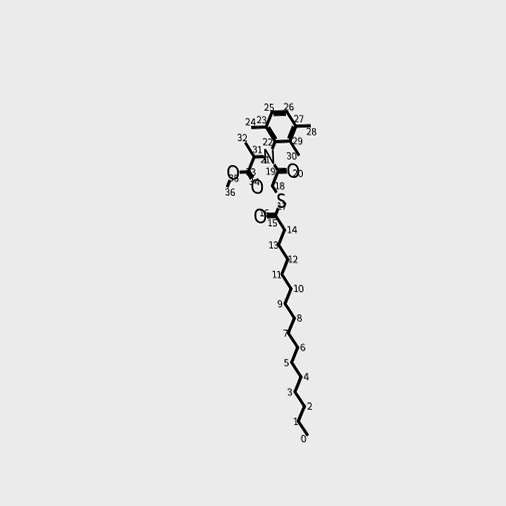 CCCCCCCCCCCCCCCC(=O)SCC(=O)N(c1c(C)ccc(C)c1C)C(C)C(=O)OC